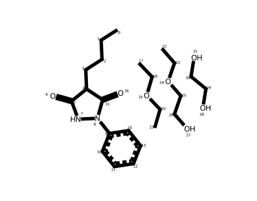 CCCCC1C(=O)NN(c2ccccc2)C1=O.CCOCC.CCOCCO.OCCO